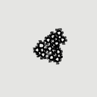 C1=CC=C(N(C2=CC3=C4B(C5=C(C6c7ccccc7SC6C=C5)N3C3C=CC=CC3)[C@@H]3CC=C5C(=C3N(c3ccccc3)C4C2)C2=C(C=CCC2)C52c3ccccc3-c3ccccc32)c2cccc3sc4ccccc4c23)CC=C1